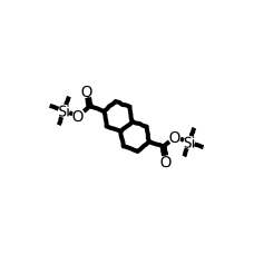 C[Si](C)(C)OC(=O)C1CCC2CC(C(=O)O[Si](C)(C)C)CCC2C1